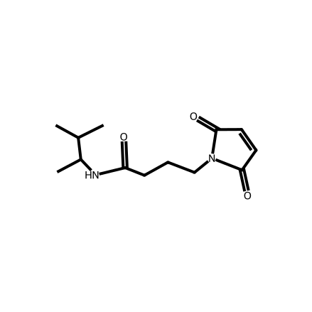 CC(C)C(C)NC(=O)CCCN1C(=O)C=CC1=O